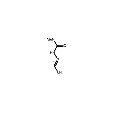 C/C=N/NC(=O)NC